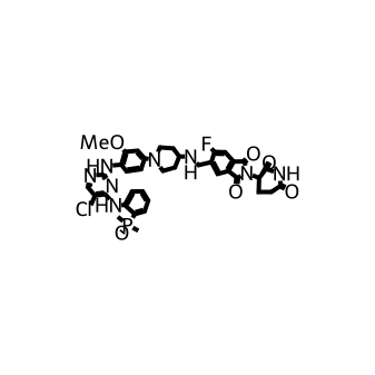 COc1cc(N2CCC(NCc3cc4c(cc3F)C(=O)N(C3CCC(=O)NC3=O)C4=O)CC2)ccc1Nc1ncc(Cl)c(Nc2ccccc2P(C)(C)=O)n1